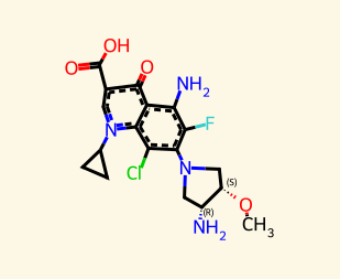 CO[C@H]1CN(c2c(F)c(N)c3c(=O)c(C(=O)O)cn(C4CC4)c3c2Cl)C[C@H]1N